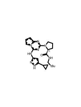 CC(C)(C)CNC(=O)[C@@H]1CCCN1c1nc(Nc2cc(C3CC3)[nH]n2)n2cccc2n1